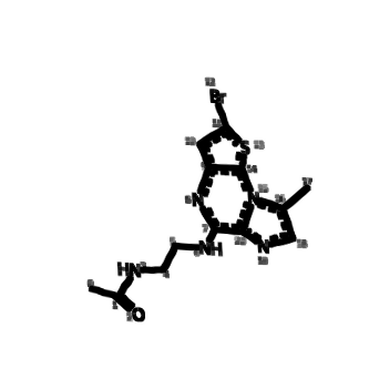 CC(=O)NCCNc1nc2cc(Br)sc2n2c(C)cnc12